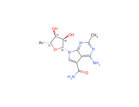 CC(=O)[C@H]1O[C@@H](n2cc(C(N)=O)c3c(N)nc(C)nc32)[C@H](O)[C@@H]1O